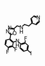 Fc1cc(I)ccc1Nc1c(-c2nnc(CNCCc3ccncc3)o2)ccc(F)c1F